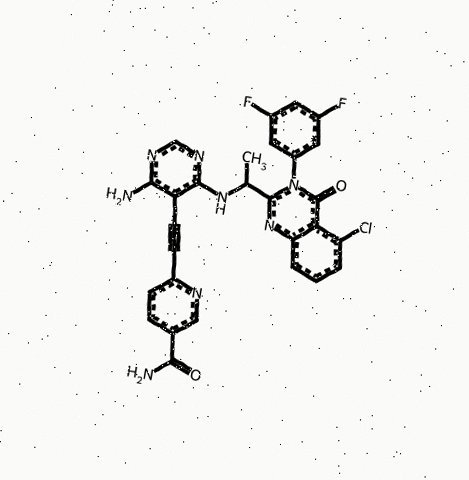 CC(Nc1ncnc(N)c1C#Cc1ccc(C(N)=O)cn1)c1nc2cccc(Cl)c2c(=O)n1-c1cc(F)cc(F)c1